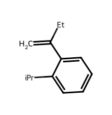 C=C(CC)c1ccccc1C(C)C